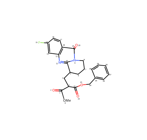 COC(=O)C(CC1CCCn2c1nc1cc(F)ccc1c2=O)C(=O)OCc1ccccc1